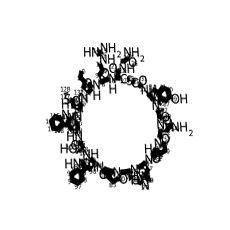 CCCC[C@H]1C(=O)N[C@@H](CCCNC(=N)N)C(=O)NC(C(=O)NCC(N)=O)CSCC(=O)N[C@@H](Cc2ccc(O)cc2)C(=O)N(C)[C@@H](C)C(=O)N[C@@H](CC(N)=O)C(=O)N2CCC[C@H]2C(=O)N[C@@H](Cc2cnc[nH]2)C(=O)N[C@@H](CO)C(=O)N2CCC[C@H]2C(=O)N[C@@H](Cc2c[nH]c3ccccc23)C(=O)N[C@@H](CO)C(=O)N[C@@H](Cc2c[nH]c3ccccc23)C(=O)N(C)[C@@H](CCSC)C(=O)N1C